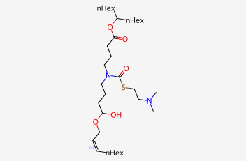 CCCCCC/C=C\COC(O)CCCN(CCCC(=O)OC(CCCCCC)CCCCCC)C(=O)SCCN(C)C